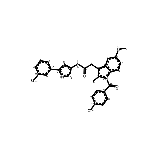 COc1ccc2c(c1)c(CC(=O)Nc1nnc(-c3cccc(Cl)c3)s1)c(C)n2C(=O)c1ccc(Cl)cc1